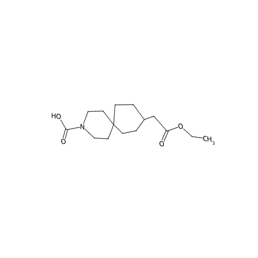 CCOC(=O)CC1CCC2(CC1)CCN(C(=O)O)CC2